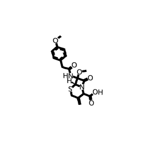 C=C1CS[C@H]2N(C(=O)C2(NC(=O)Cc2ccc(OC)cc2)OC)C1C(=O)O